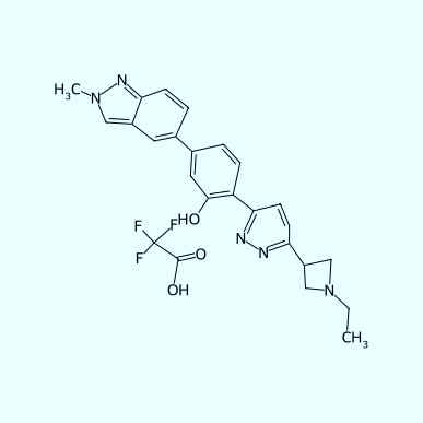 CCN1CC(c2ccc(-c3ccc(-c4ccc5nn(C)cc5c4)cc3O)nn2)C1.O=C(O)C(F)(F)F